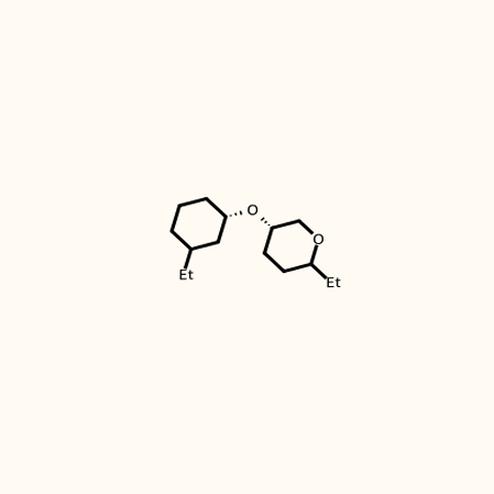 CCC1CCC[C@H](O[C@H]2CCC(CC)OC2)C1